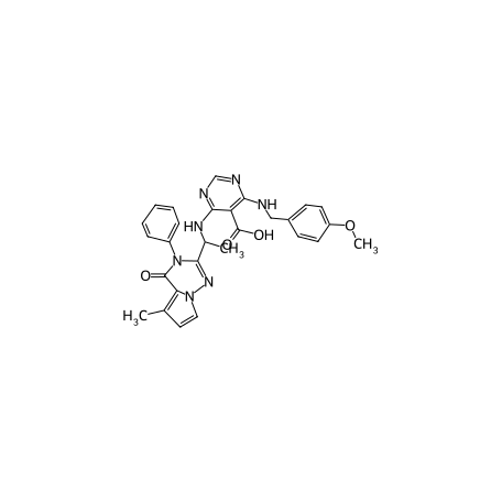 COc1ccc(CNc2ncnc(NC(C)c3nn4ccc(C)c4c(=O)n3-c3ccccc3)c2C(=O)O)cc1